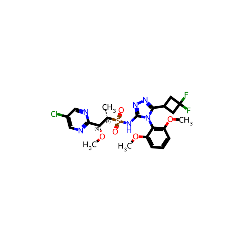 COc1cccc(OC)c1-n1c(NS(=O)(=O)[C@@H](C)[C@H](OC)c2ncc(Cl)cn2)nnc1C1CC(F)(F)C1